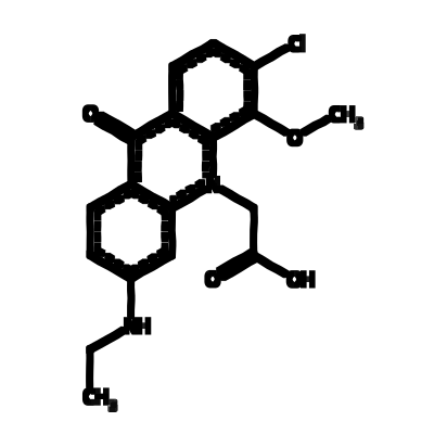 CCNc1ccc2c(=O)c3ccc(Cl)c(OC)c3n(CC(=O)O)c2c1